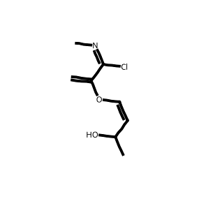 C=C(O/C=C\C(C)O)/C(Cl)=N\C